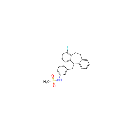 CS(=O)(=O)Nc1cccc(CC2c3ccccc3CCc3c(F)cccc32)c1